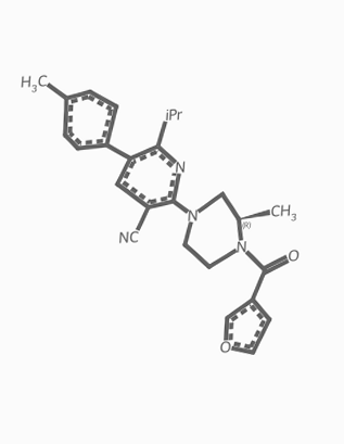 Cc1ccc(-c2cc(C#N)c(N3CCN(C(=O)c4ccoc4)[C@H](C)C3)nc2C(C)C)cc1